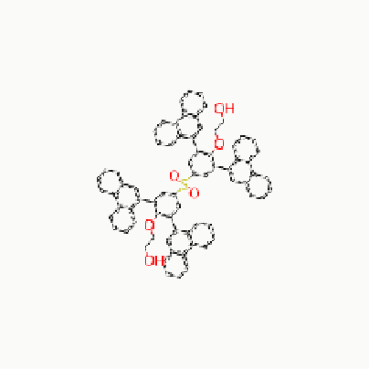 O=S(=O)(c1cc(-c2cc3ccccc3c3ccccc23)c(OCCO)c(-c2cc3ccccc3c3ccccc23)c1)c1cc(-c2cc3ccccc3c3ccccc23)c(OCCO)c(-c2cc3ccccc3c3ccccc23)c1